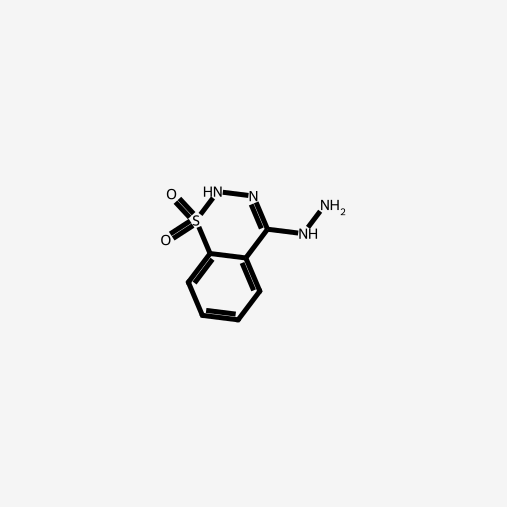 NNC1=NNS(=O)(=O)c2ccccc21